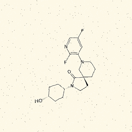 O=C1N([C@H]2CC[C@@H](O)CC2)CC[C@@]12CCCN(c1cc(F)cnc1F)C2